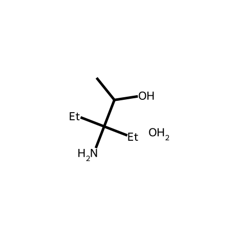 CCC(N)(CC)C(C)O.O